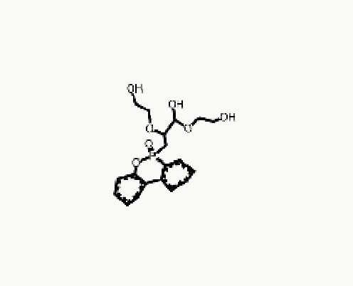 O=P1(CC(OCCO)C(O)OCCO)Oc2ccccc2-c2ccccc21